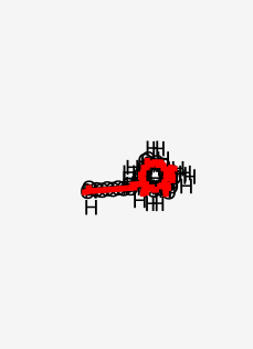 CC(=O)N[C@@H](CC(=O)O)C(=O)N[C@H]1CSSC[C@@H](C(=O)N[C@H](C(=O)O)[C@@H](C)O)NC(=O)[C@H](Cc2c[nH]c3ccccc23)NC(=O)[C@H](C(C)C)NC(=O)[C@H](CC(C)C)NC(=O)[C@H](CCC(=O)O)NC(=O)CNC(=O)[C@H](CC(C)C)NC(=O)[C@H](CCNC(=O)c2ccc(OC(=O)CCOCCOCCOCCOCCOCCOCCNC(=O)OC(C)(C)C)cc2)NC(=O)[C@H](Cc2c[nH]c3ccccc23)NC(=O)[C@H](C)NC1=O